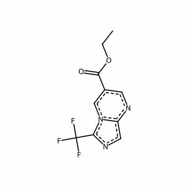 CCOC(=O)c1cnc2cnc(C(F)(F)F)n2c1